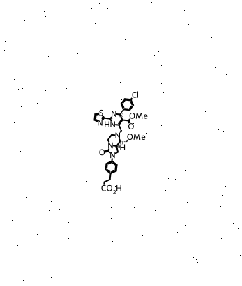 COC[C@@H]1[C@H]2CN(c3ccc(CCC(=O)O)cc3)C(=O)N2CCN1CC1=C(C(=O)OC)[C@H](c2ccc(Cl)cc2)N=C(c2nccs2)N1